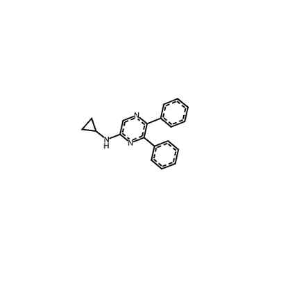 c1ccc(-c2ncc(NC3CC3)nc2-c2ccccc2)cc1